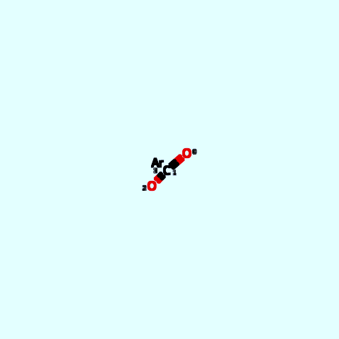 O=C=O.[Ar]